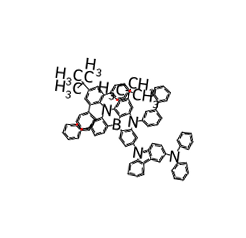 CC(C)(C)c1cc(-c2ccccc2)c(N2c3cc(-c4ccccc4)ccc3B3c4ccc(-n5c6ccccc6c6cc(N(c7ccccc7)c7ccccc7)ccc65)cc4N(c4cccc(-c5ccccc5)c4)c4cc(C(C)(C)C)cc2c43)c(-c2ccccc2)c1